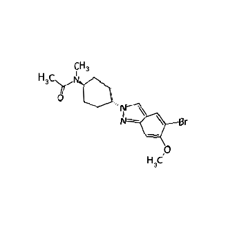 COc1cc2nn([C@H]3CC[C@H](N(C)C(C)=O)CC3)cc2cc1Br